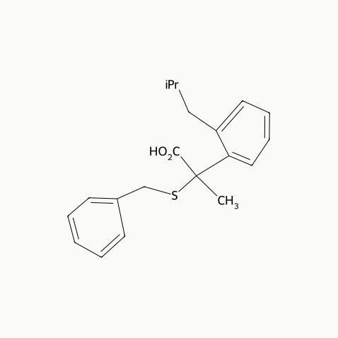 CC(C)Cc1ccccc1C(C)(SCc1ccccc1)C(=O)O